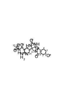 COc1ccc2c(c1)C(=O)N(C[C@@]1(c3cnc(N)c(C(=O)NS(C)(=O)=O)c3)NC(=O)NC1=O)C2